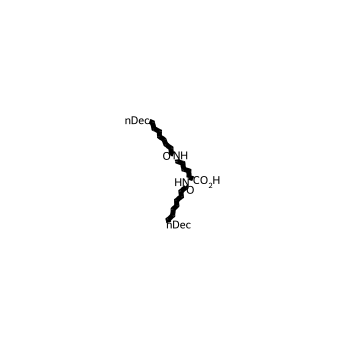 CCCCCCCCCCCCCCCCCC(=O)NCCCCC(NC(=O)CCCCCCCCCCCCCCCCC)C(=O)O